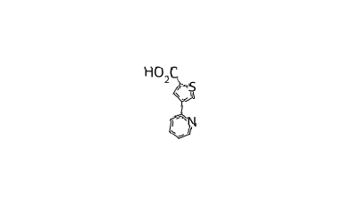 O=C(O)c1cc(-c2ccccn2)cs1